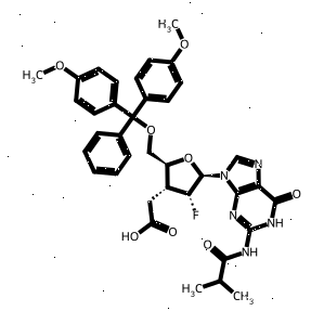 COc1ccc(C(OC[C@H]2O[C@@H](n3cnc4c(=O)[nH]c(NC(=O)C(C)C)nc43)[C@H](F)[C@@H]2CC(=O)O)(c2ccccc2)c2ccc(OC)cc2)cc1